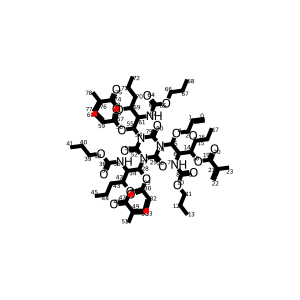 C=CC(=O)OC(C(NC(=O)OCCC)C(CCC)OC(=O)C(=C)C)n1c(=O)n(C(OC(=O)C=C)C(NC(=O)OCCC)C(CCC)OC(=O)C(=C)C)c(=O)n(C(OC(=O)C=C)C(NC(=O)OCCC)C(CCC)OC(=O)C(=C)C)c1=O